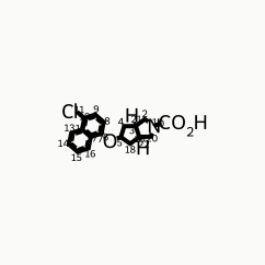 O=C(O)N1C[C@H]2CC(Oc3ccc(Cl)c4ccccc34)C[C@H]2C1